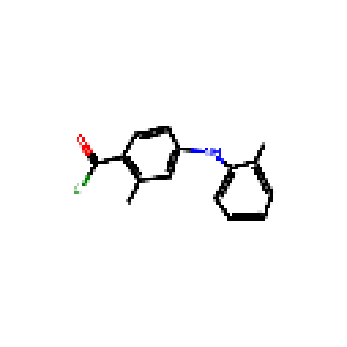 Cc1ccccc1Nc1ccc(C(=O)Cl)c(C)c1